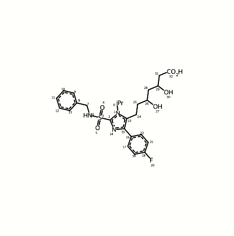 CC(C)n1c(S(=O)(=O)NCc2ccccc2)nc(-c2ccc(F)cc2)c1CCC(O)CC(O)CC(=O)O